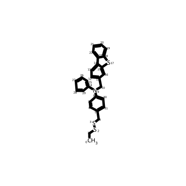 CCSSCc1ccc(N(Cc2ccc3c(c2)sc2ccccc23)c2ccccc2)cc1